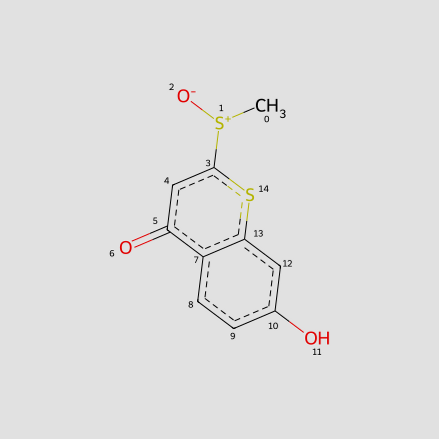 C[S+]([O-])c1cc(=O)c2ccc(O)cc2s1